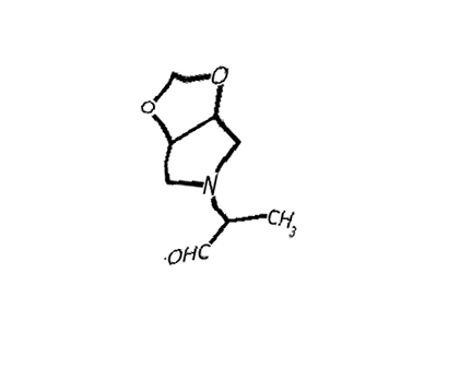 CC([C]=O)N1CC2OCOC2C1